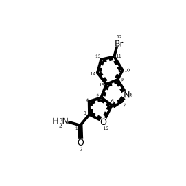 NC(=O)c1cc2c(cnc3cc(Br)ccc32)o1